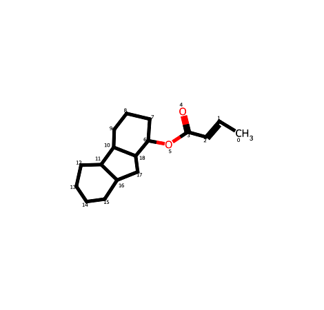 CC=CC(=O)OC1CCCC2C3CCCCC3CC12